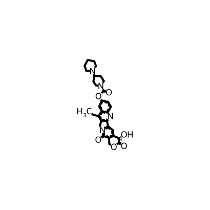 CCc1c2c(nc3ccc(OC(=O)N4CCC(N5CCCCC5)CC4)cc13)-c1cc3c(c(=O)n1C2)COC(=O)[C@H]3O